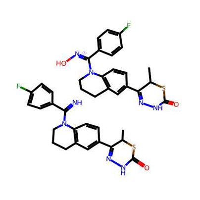 CC1SC(=O)NN=C1c1ccc2c(c1)CCCN2/C(=N\O)c1ccc(F)cc1.CC1SC(=O)NN=C1c1ccc2c(c1)CCCN2C(=N)c1ccc(F)cc1